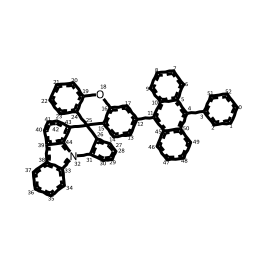 c1ccc(-c2c3ccccc3c(-c3ccc4c(c3)Oc3ccccc3C43c4ccccc4-n4c5ccccc5c5cccc3c54)c3ccccc23)cc1